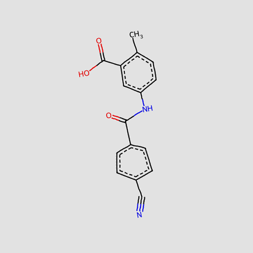 Cc1ccc(NC(=O)c2ccc(C#N)cc2)cc1C(=O)O